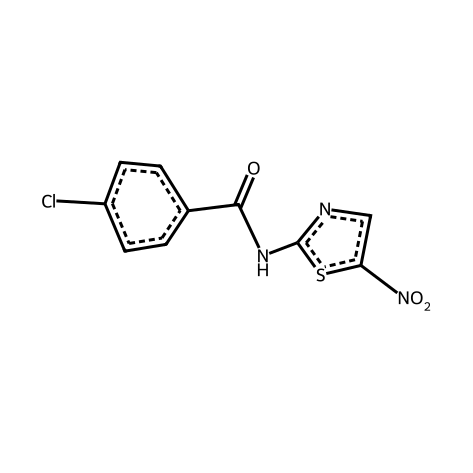 O=C(Nc1ncc([N+](=O)[O-])s1)c1ccc(Cl)cc1